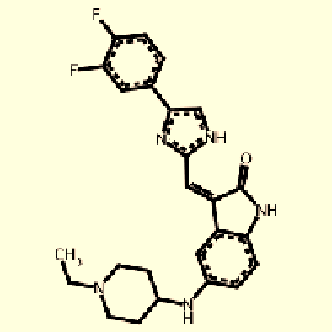 CCN1CCC(Nc2ccc3c(c2)/C(=C/c2nc(-c4ccc(F)c(F)c4)c[nH]2)C(=O)N3)CC1